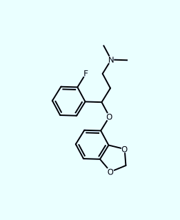 CN(C)CCC(Oc1cccc2c1OCO2)c1ccccc1F